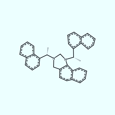 C[C@@H](c1cccc2ccccc12)N1Cc2ccc3ccccc3c2N([C@@H](C)c2cccc3ccccc23)C1